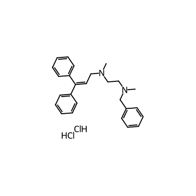 CN(CC=C(c1ccccc1)c1ccccc1)CCN(C)Cc1ccccc1.Cl.Cl